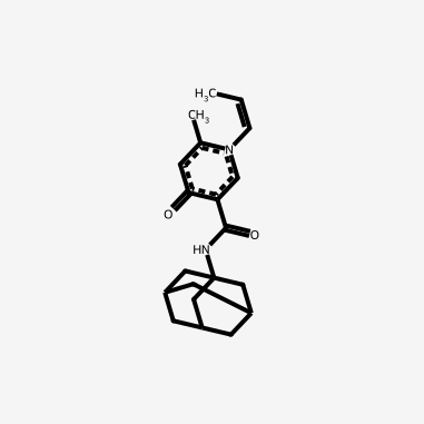 C/C=C\n1cc(C(=O)NC23CC4CC(CC(C4)C2)C3)c(=O)cc1C